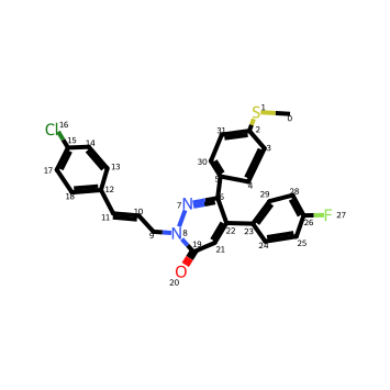 CSc1ccc(-c2nn(CC=Cc3ccc(Cl)cc3)c(=O)cc2-c2ccc(F)cc2)cc1